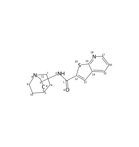 O=C(NC1CC2CCN(CC2)C1)c1cc2cccnc2s1